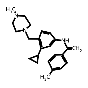 C=C(Nc1ccc(CN2CCN(C)CC2)c(C2CC2)c1)c1ccc(C)cc1